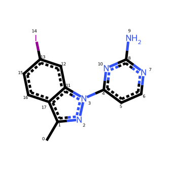 Cc1nn(-c2ccnc(N)n2)c2cc(I)ccc12